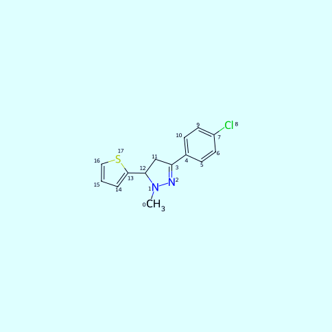 CN1N=C(c2ccc(Cl)cc2)CC1c1cccs1